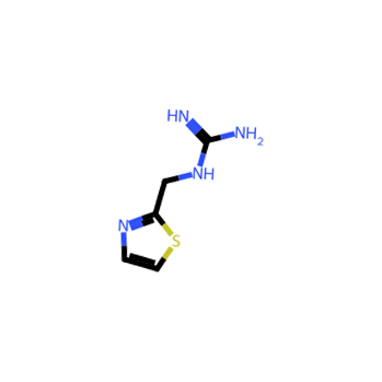 N=C(N)NCc1nccs1